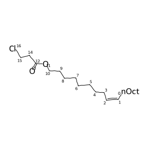 CCCCCCCC/C=C\CCCCCCCCOC(=O)CCCl